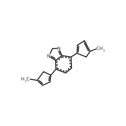 CC1=CC=C(c2ccc(C3=CC=C(C)C3)c3c2=NCN=3)C1